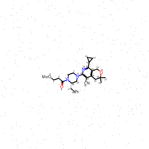 COCCC(=O)N1CCN(c2nc(C3CC3)c3c(c2C#N)CC(C)(C)OC3)C[C@@H]1CC(C)C